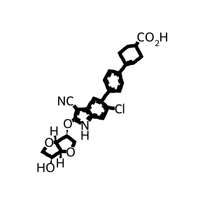 N#Cc1c(O[C@@H]2CO[C@H]3[C@@H]2OC[C@H]3O)[nH]c2cc(Cl)c(-c3ccc(C4=CCC(C(=O)O)CC4)cc3)cc12